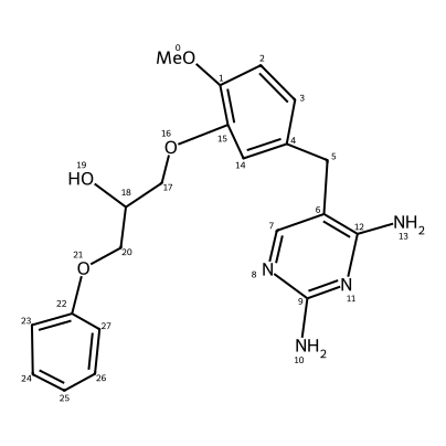 COc1ccc(Cc2cnc(N)nc2N)cc1OCC(O)COc1ccccc1